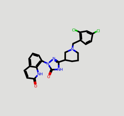 O=c1ccc2cccc(-n3nc(C4CCCN(Cc5ccc(Cl)cc5Cl)C4)[nH]c3=O)c2[nH]1